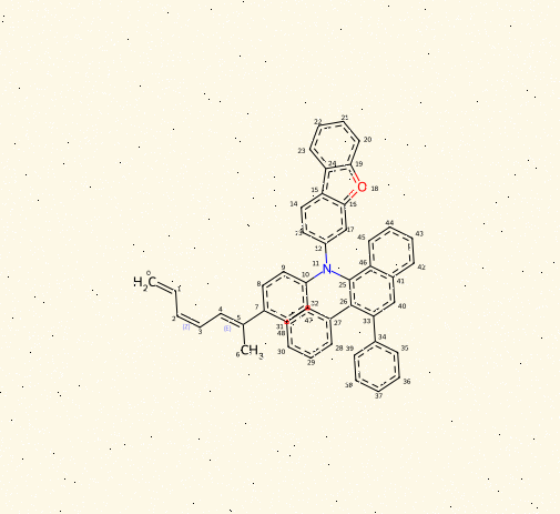 C=C/C=C\C=C(/C)c1ccc(N(c2ccc3c(c2)oc2ccccc23)c2c(-c3ccccc3)c(-c3ccccc3)cc3ccccc23)cc1